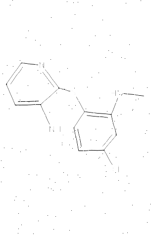 CNc1cc(Cl)ccc1Sc1ncccc1N